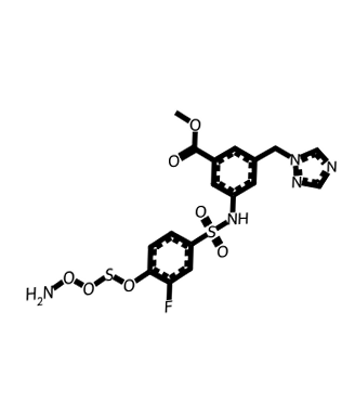 COC(=O)c1cc(Cn2cncn2)cc(NS(=O)(=O)c2ccc(OSOON)c(F)c2)c1